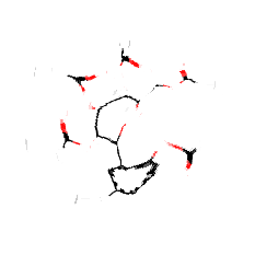 CC(=O)OC[C@H]1OC(c2cc(C)ccc2OC(C)=O)[C@H](OC(C)=O)[C@@H](OC(C)=O)[C@@H]1OC(C)=O